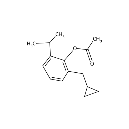 CC(=O)Oc1c(CC2CC2)cccc1C(C)C